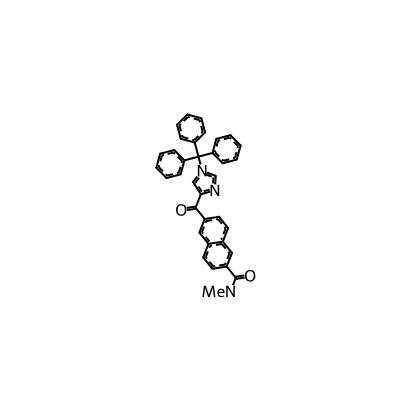 CNC(=O)c1ccc2cc(C(=O)c3cn(C(c4ccccc4)(c4ccccc4)c4ccccc4)cn3)ccc2c1